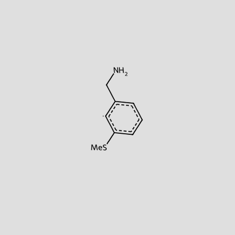 CSc1[c]c(CN)ccc1